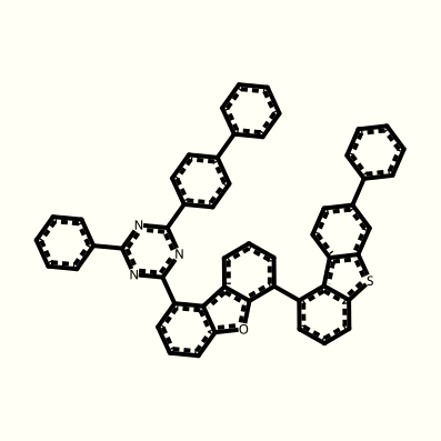 c1ccc(-c2ccc(-c3nc(-c4ccccc4)nc(-c4cccc5oc6c(-c7cccc8sc9cc(-c%10ccccc%10)ccc9c78)cccc6c45)n3)cc2)cc1